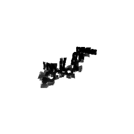 COC(=O)N(C)CC(=O)N(C)c1ccc2cc(-c3n[nH]c4c3CCC(C)(C)C4)[nH]c2c1